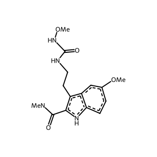 CNC(=O)c1[nH]c2ccc(OC)cc2c1CCNC(=O)NOC